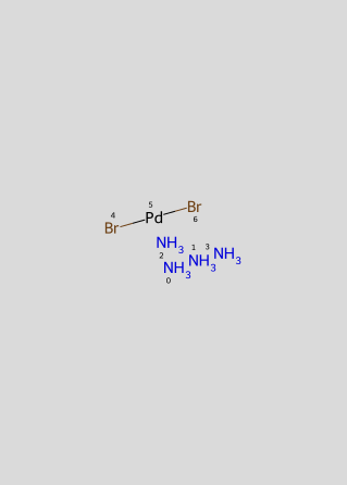 N.N.N.N.[Br][Pd][Br]